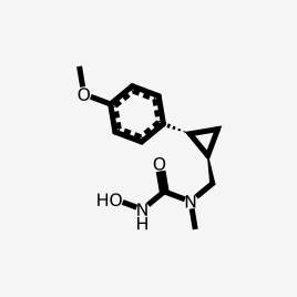 COc1ccc([C@@H]2C[C@H]2CN(C)C(=O)NO)cc1